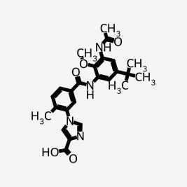 COc1c(NC(C)=O)cc(C(C)(C)C)cc1NC(=O)c1ccc(C)c(-n2cnc(C(=O)O)c2)c1